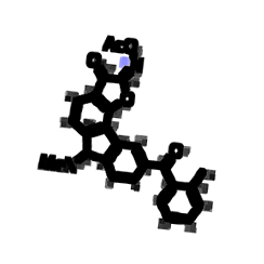 CNC1c2ccc(C(=O)c3ccccc3C)cc2-c2c1ccc1c2O/C(=N/OC(C)=O)C1=O